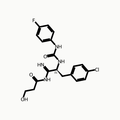 N=C(NC(=O)CCO)[C@H](Cc1ccc(Cl)cc1)NC(=O)Nc1ccc(F)cc1